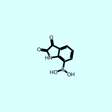 O=C1Nc2c(B(O)O)cccc2C1=O